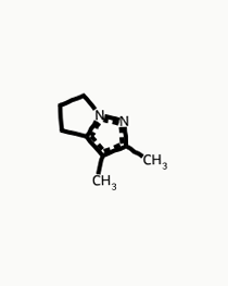 Cc1nn2c(c1C)CCC2